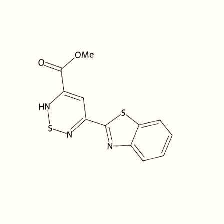 COC(=O)C1=CC(c2nc3ccccc3s2)=NSN1